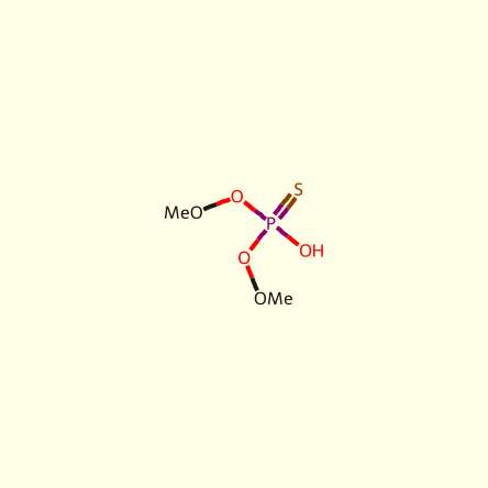 COOP(O)(=S)OOC